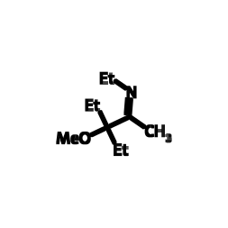 CCN=C(C)C(CC)(CC)OC